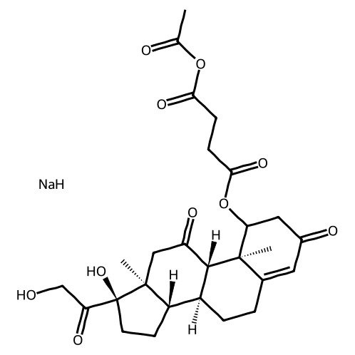 CC(=O)OC(=O)CCC(=O)OC1CC(=O)C=C2CC[C@H]3[C@@H]4CC[C@](O)(C(=O)CO)[C@@]4(C)CC(=O)[C@@H]3[C@]21C.[NaH]